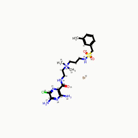 Cc1cccc(CS(=O)(=O)NCCC[N+](C)(C)CCNC(=O)c2nc(Cl)c(N)nc2N)c1.[Br-]